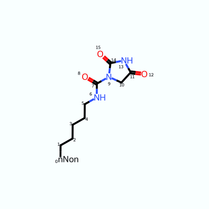 CCCCCCCCCCCCCCNC(=O)N1CC(=O)NC1=O